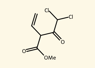 C=CC(C(=O)OC)C(=O)C(Cl)Cl